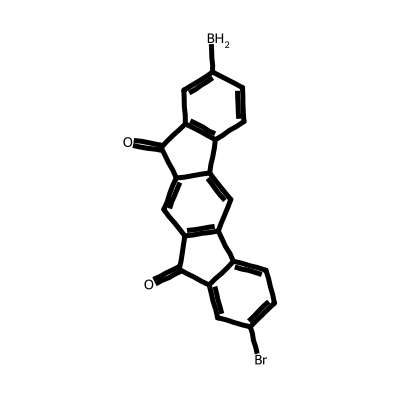 Bc1ccc2c(c1)c(=O)c1cc3c(=O)c4cc(Br)ccc4c3cc12